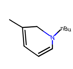 CCCCN1C=CC=C(C)C1